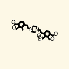 CCOC(CN1CCN(CCc2ccc3c(c2C)COC3=O)CC1)c1ccc2c(c1C)COC2=O